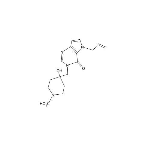 C=CCn1ccc2ncn(CC3(O)CCN(C(=O)O)CC3)c(=O)c21